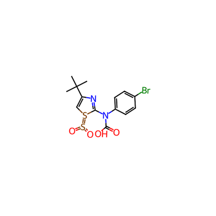 CC(C)(C)C1=CS(=S(=O)=O)C(N(C(=O)O)c2ccc(Br)cc2)=N1